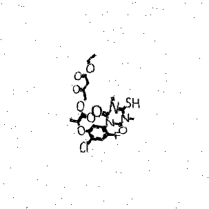 CCOC(=O)CC(=O)COC(=O)C(C)Oc1cc(N2C(=O)N(C)C(S)N(C)C2=O)c(F)cc1Cl